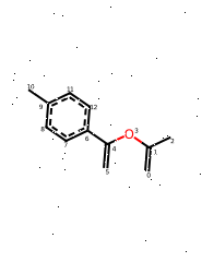 C=C(C)OC(=C)c1ccc(C)cc1